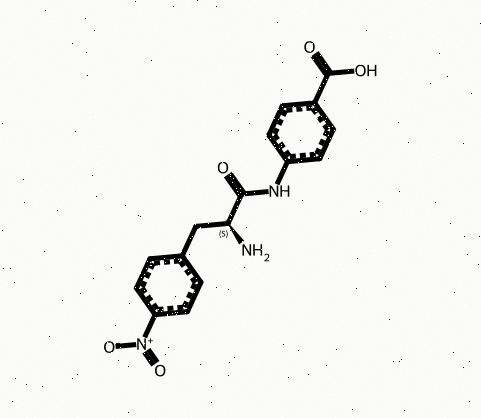 N[C@@H](Cc1ccc([N+](=O)[O-])cc1)C(=O)Nc1ccc(C(=O)O)cc1